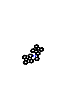 c1ccc2c(c1)-c1ccccc1C21c2ccccc2-c2c(-n3c4ccccc4c4ccc5c(c43)-c3ccccc3C53c4ccccc4-c4ccccc43)cccc21